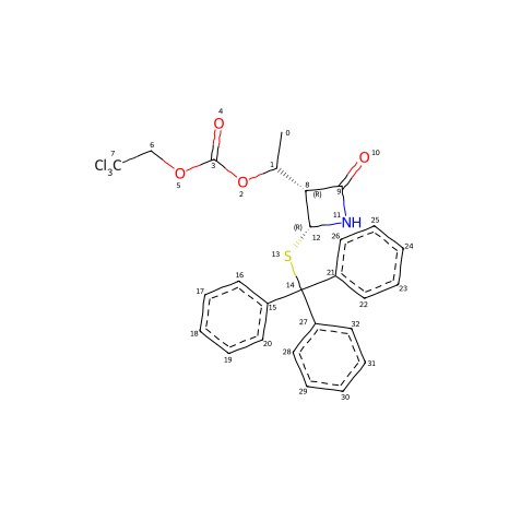 CC(OC(=O)OCC(Cl)(Cl)Cl)[C@@H]1C(=O)N[C@@H]1SC(c1ccccc1)(c1ccccc1)c1ccccc1